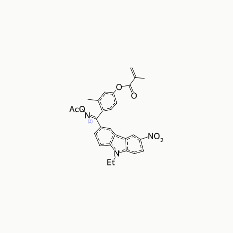 C=C(C)C(=O)Oc1ccc(/C(=N\OC(C)=O)c2ccc3c(c2)c2cc([N+](=O)[O-])ccc2n3CC)c(C)c1